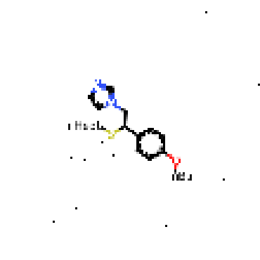 CCCCCCCSC(Cn1ccnc1)c1ccc(OCCCC)cc1